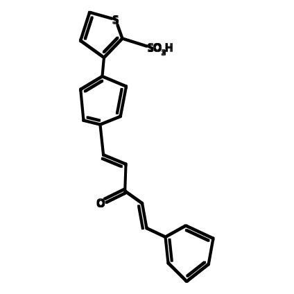 O=C(/C=C/c1ccccc1)/C=C/c1ccc(-c2ccsc2S(=O)(=O)O)cc1